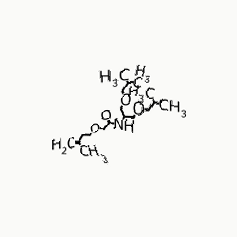 C=C(C)CCOCC(=O)NC(COCC(C)C)COCC(C)C